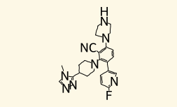 Cn1cnnc1C1CCN(c2c(-c3ccc(F)nc3)ccc(N3CCNCC3)c2C#N)CC1